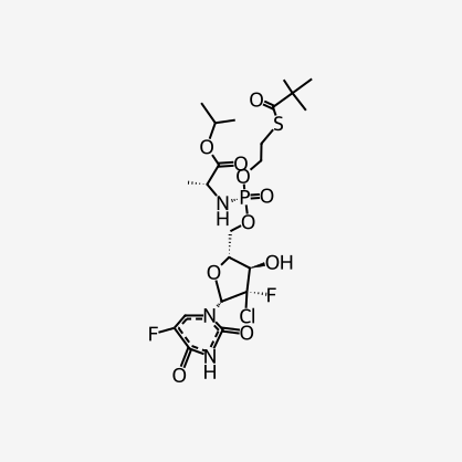 CC(C)OC(=O)[C@@H](C)N[P@@](=O)(OCCSC(=O)C(C)(C)C)OC[C@H]1O[C@@H](n2cc(F)c(=O)[nH]c2=O)[C@](F)(Cl)[C@@H]1O